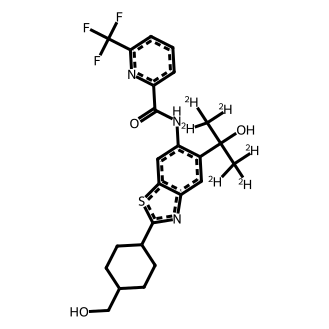 [2H]C([2H])([2H])C(O)(c1cc2nc(C3CCC(CO)CC3)sc2cc1NC(=O)c1cccc(C(F)(F)F)n1)C([2H])([2H])[2H]